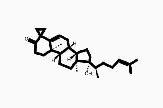 CC(C)=CCC[C@@H](C)[C@]1(O)CC[C@H]2[C@@H]3CC=C4C5(CC5)C(=O)CC[C@]4(C)[C@H]3CC[C@@]21C